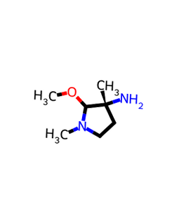 COC1N(C)CC[C@@]1(C)N